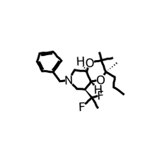 CCC[C@@]1(C)O[C@H]2[C@@H](CN(Cc3ccccc3)C[C@@H]2C(C)(F)F)OC1(C)C